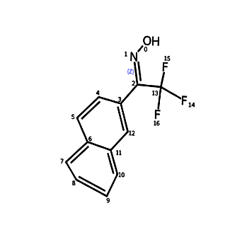 O/N=C(/c1ccc2ccccc2c1)C(F)(F)F